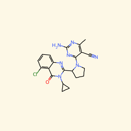 Cc1nc(N)nc(N2CCCC2c2nc3cccc(Cl)c3c(=O)n2C2CC2)c1C#N